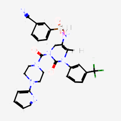 [C-]#[N+]C1=C(C)N(c2cccc(C(F)(F)F)c2)C(=O)N(C(=O)N2CCN(c3ccccn3)CC2)[C@@H]1c1ccc(C#N)cc1S(C)(=O)=O